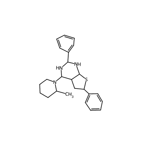 CC1CCCCN1C1NC(c2ccccc2)NC2SC(c3ccccc3)CC21